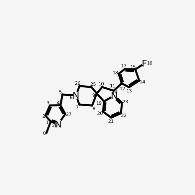 Cc1ccc(CN2CCC(CCc3ccc(F)cc3)(c3ccccn3)CC2)cn1